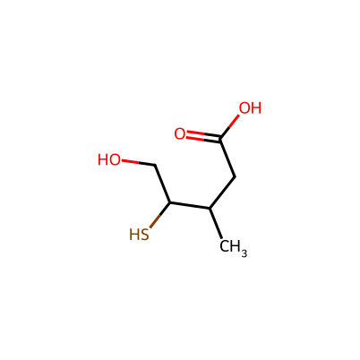 CC(CC(=O)O)C(S)CO